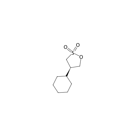 O=S1(=O)C[C@H](C2CCCCC2)CO1